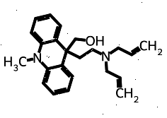 C=CCN(CC=C)CCC1(CO)c2ccccc2N(C)c2ccccc21